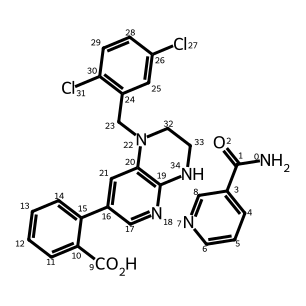 NC(=O)c1cccnc1.O=C(O)c1ccccc1-c1cnc2c(c1)N(Cc1cc(Cl)ccc1Cl)CCN2